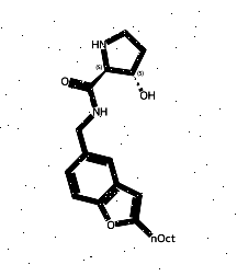 CCCCCCCCc1cc2cc(CNC(=O)[C@H]3NCC[C@@H]3O)ccc2o1